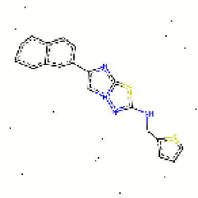 c1csc(CNc2nn3cc(-c4ccc5ccccc5c4)nc3s2)c1